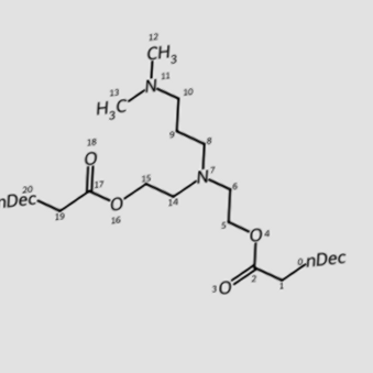 CCCCCCCCCCCC(=O)OCCN(CCCN(C)C)CCOC(=O)CCCCCCCCCCC